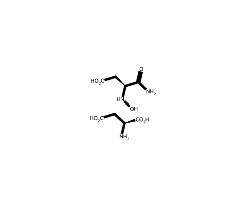 NC(=O)[C@H](CC(=O)O)NO.N[C@@H](CC(=O)O)C(=O)O